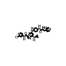 N[C@H](Cc1ccncc1)C(=O)N[C@H]1CC[C@H](Nc2cc(NC3CC3)c3ncc(C(=O)Nc4ccnc(Cl)c4)n3n2)CC1